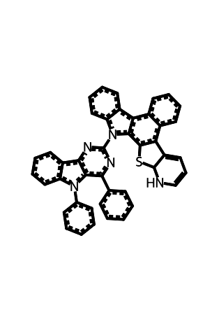 C1=CNC2Sc3c(c4ccccc4c4c5ccccc5n(-c5nc(-c6ccccc6)c6c(n5)c5ccccc5n6-c5ccccc5)c34)C2=C1